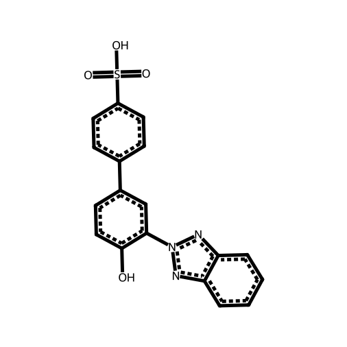 O=S(=O)(O)c1ccc(-c2ccc(O)c(-n3nc4ccccc4n3)c2)cc1